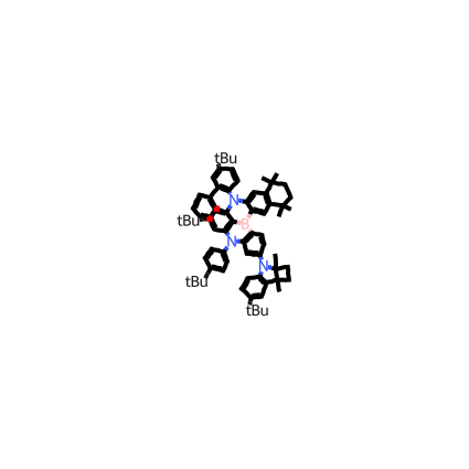 CC(C)(C)c1ccc(N2c3cc(N4c5ccc(C(C)(C)C)cc5C5(C)CCC45C)ccc3B3c4cc5c(cc4N(c4ccc(C(C)(C)C)cc4-c4ccccc4)c4cc(C(C)(C)C)cc2c43)C(C)(C)CCC5(C)C)cc1